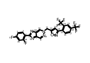 Fc1ccc(-c2nc3cnn(Cc4cc(-c5ccc(C(F)(F)F)cc5C(F)(F)F)no4)cc-3n2)c(F)c1